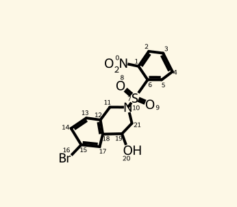 O=[N+]([O-])c1ccccc1S(=O)(=O)N1Cc2ccc(Br)cc2C(O)C1